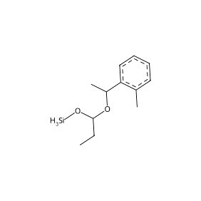 CCC(O[SiH3])OC(C)c1ccccc1C